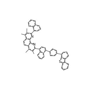 Cc1c(-c2cccc3ccccc23)nc2c(ccc3c(C)c(C)c(-c4ccc(-c5ccc(-c6cccc7c6sc6ccccc67)cc5)c5ccccc45)nc32)c1C